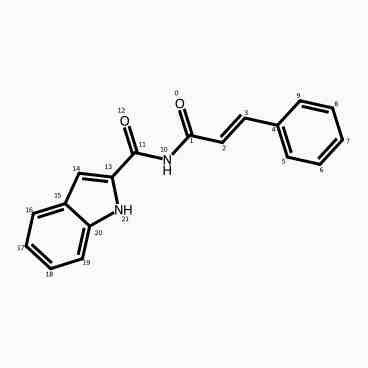 O=C(/C=C/c1ccccc1)NC(=O)c1cc2ccccc2[nH]1